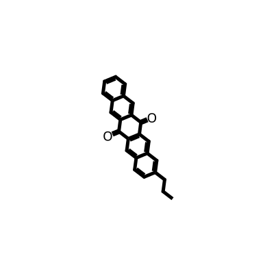 CCCc1ccc2cc3c(cc2c1)C(=O)c1cc2ccccc2cc1C3=O